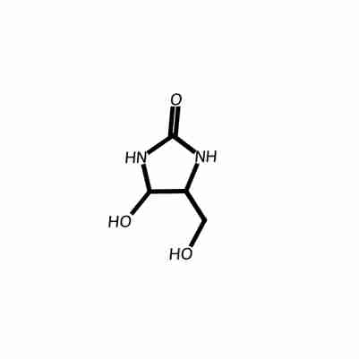 O=C1NC(O)C(CO)N1